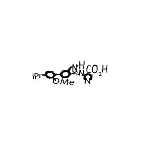 COc1cc(C(C)C)ccc1-c1ccc2c(c1)CN(C)[C@@H]2CNc1cnccc1C(=O)O